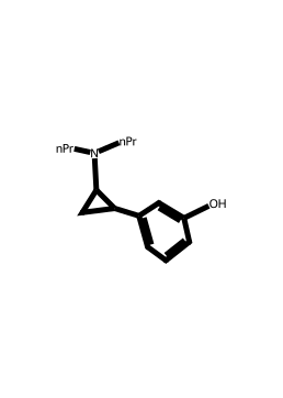 CCCN(CCC)C1CC1c1cccc(O)c1